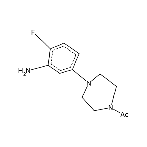 CC(=O)N1CCN(c2ccc(F)c(N)c2)CC1